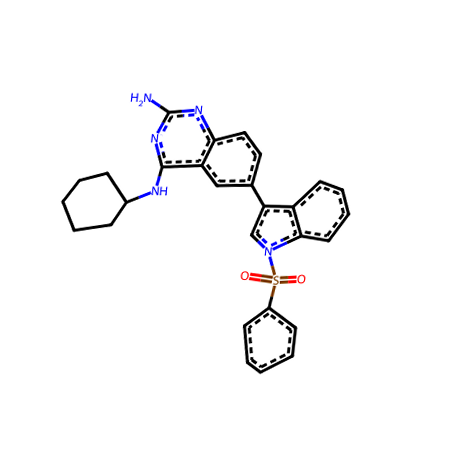 Nc1nc(NC2CCCCC2)c2cc(-c3cn(S(=O)(=O)c4ccccc4)c4ccccc34)ccc2n1